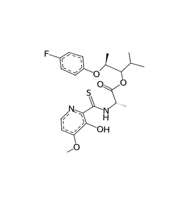 COc1ccnc(C(=S)N[C@@H](C)C(=O)OC(C(C)C)[C@H](C)Oc2ccc(F)cc2)c1O